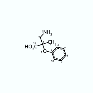 CC(CN)(Oc1ccccc1)C(=O)O